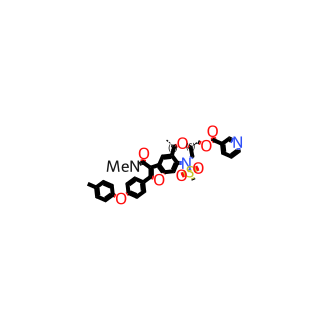 CNC(=O)c1c(-c2ccc(Oc3ccc(C)cc3)cc2)oc2cc3c(cc12)[C@H](C)O[C@H](COC(=O)c1cccnc1)CN3S(C)(=O)=O